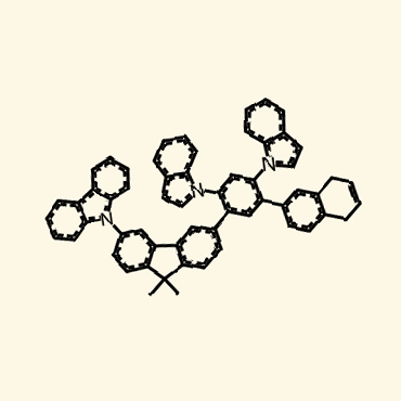 CC1(C)c2ccc(-c3cc(-c4ccc5c(c4)CC=CC5)c(-n4ccc5ccccc54)cc3-n3ccc4ccccc43)cc2-c2cc(-n3c4ccccc4c4ccccc43)ccc21